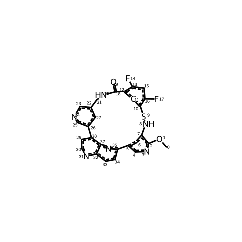 COc1ncc2cc1NSc1cc(c(F)cc1F)C(=O)NCc1cncc(c1)-c1ccnc3ccc-2nc13